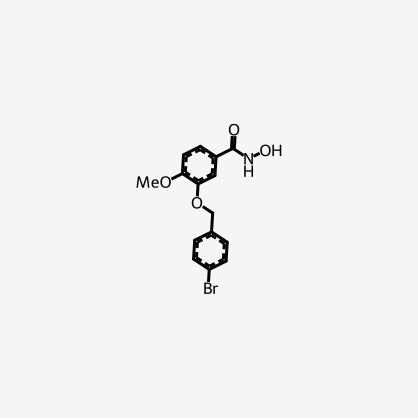 COc1ccc(C(=O)NO)cc1OCc1ccc(Br)cc1